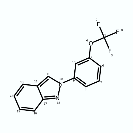 FC(F)(F)Oc1cccc(-n2cc3c[c]ccc3n2)c1